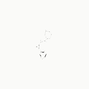 c1cncc(C2CC2NCN2CCCCC2)c1